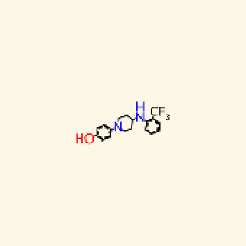 Oc1ccc(N2CCC(Nc3ccccc3C(F)(F)F)CC2)cc1